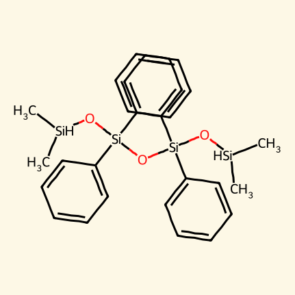 C[SiH](C)O[Si](O[Si](O[SiH](C)C)(c1ccccc1)c1ccccc1)(c1ccccc1)c1ccccc1